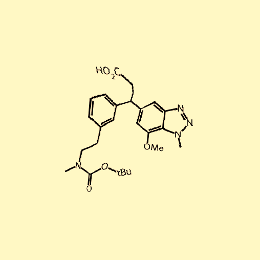 COc1cc(C(CC(=O)O)c2cccc(CCN(C)C(=O)OC(C)(C)C)c2)cc2nnn(C)c12